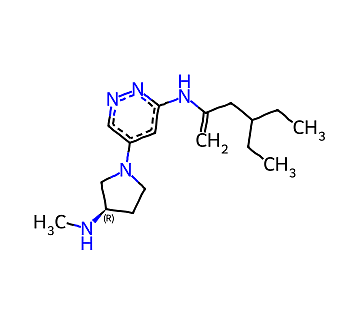 C=C(CC(CC)CC)Nc1cc(N2CC[C@@H](NC)C2)cnn1